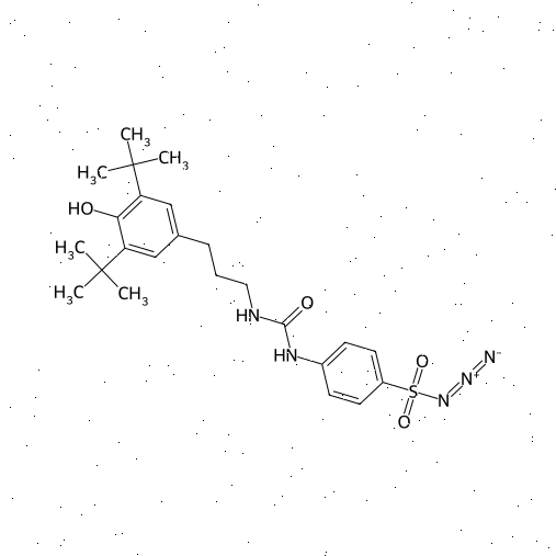 CC(C)(C)c1cc(CCCNC(=O)Nc2ccc(S(=O)(=O)N=[N+]=[N-])cc2)cc(C(C)(C)C)c1O